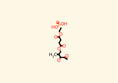 C=C(COC(=O)CCC(=O)OCCP(=O)(O)O)C(=O)C1CO1